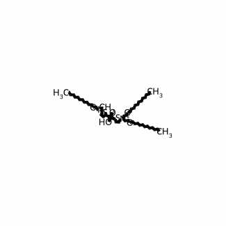 CCCCCCCCCCCCOCCN(C)c1ccc(C2=C(O)/C(=C3\C=CC(=[N+](CCOCCCCCCCCCCCC)CCOCCCCCCCCCCCC)S3)C2=O)s1